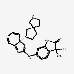 CC1(C)C(=O)Nc2cc(NC3=N[N@+]4(N5CCC6(CCNC6)C5)C=CN=CC4=N3)ccc21